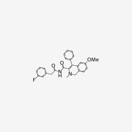 COc1ccc2c(c1)C(c1ccccc1)=C(C(=O)NC(=O)Cc1cccc(F)c1)N(C)C2